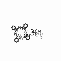 C=C(C)C(=O)OCc1cccc2c3nc4nc(nc5[nH]c(nc6nc(nc([nH]3)c12)-c1ccccc1-6)c1ccccc51)-c1ccccc1-4